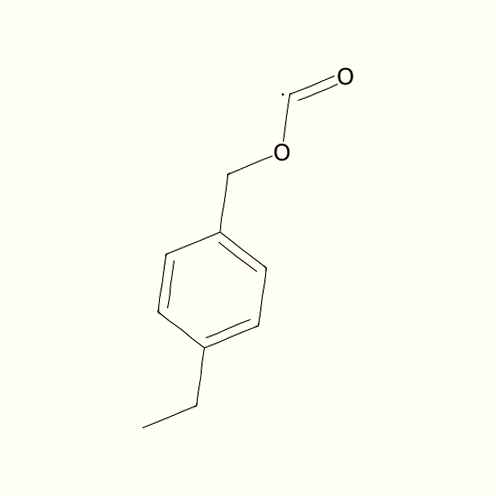 CCc1ccc(CO[C]=O)cc1